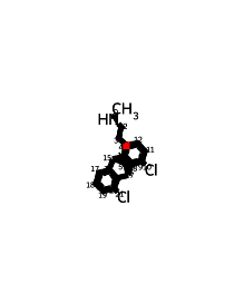 CNCCCC1CC2c3c(Cl)cccc3C1c1cccc(Cl)c12